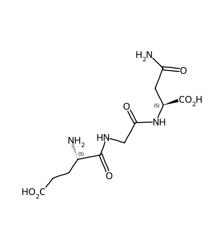 NC(=O)C[C@H](NC(=O)CNC(=O)[C@@H](N)CCC(=O)O)C(=O)O